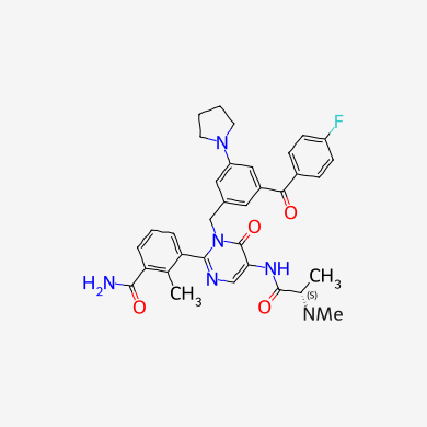 CN[C@@H](C)C(=O)Nc1cnc(-c2cccc(C(N)=O)c2C)n(Cc2cc(C(=O)c3ccc(F)cc3)cc(N3CCCC3)c2)c1=O